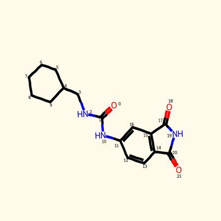 O=C(NCC1CCCCC1)Nc1ccc2c(c1)C(=O)NC2=O